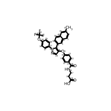 Cc1ccc2cc(-c3c(Oc4ccc(C(=O)NCCC(=O)O)cc4)cnn3-c3ccc(OC(F)(F)F)cc3)ccc2c1